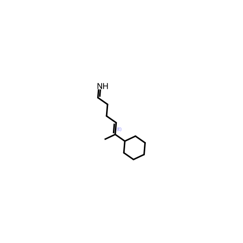 C/C(=C\CCC=N)C1CCCCC1